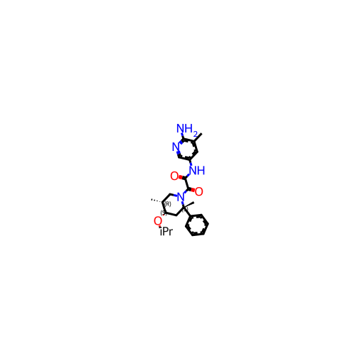 Cc1cc(NC(=O)C(=O)N2C[C@@H](C)[C@@H](OC(C)C)C[C@@]2(C)c2ccccc2)cnc1N